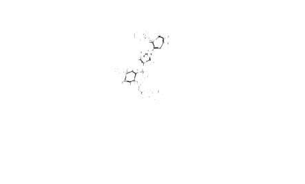 O=C(O)COc1ccc(Br)cc1C(=O)c1cnn(-c2ccccc2OC(F)(F)F)c1